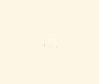 [O]=[GaH].[O]=[Ti]